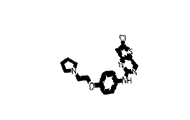 Clc1cc2nc(Nc3ccc(OCCN4CCCC4)cc3)ncc2s1